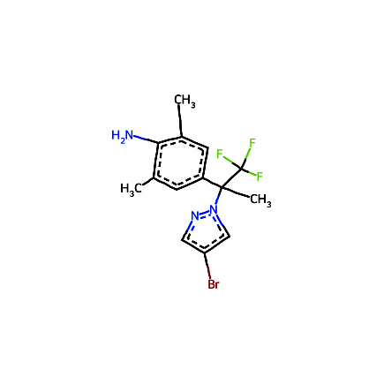 Cc1cc(C(C)(n2cc(Br)cn2)C(F)(F)F)cc(C)c1N